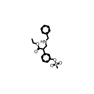 CCOC(=O)C(CNCc1ccccc1)c1cccc(OS(C)(=O)=O)c1